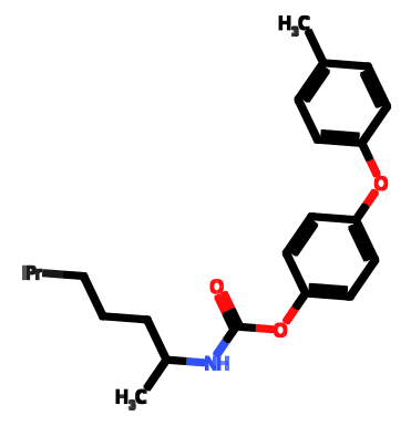 Cc1ccc(Oc2ccc(OC(=O)NC(C)CCCC(C)C)cc2)cc1